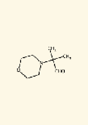 CC(C)([C]=O)N1CCOCC1